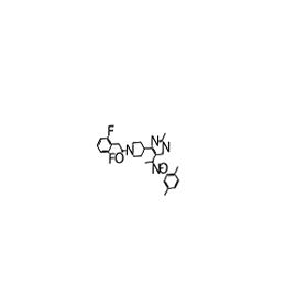 CC(=NOc1cc(C)ccc1C)c1cnc(C)nc1C1CCN(C(=O)Cc2c(F)cccc2F)CC1